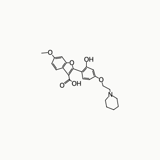 COc1ccc2c(C(=O)O)c(-c3ccc(OCCN4CCCCC4)cc3O)oc2c1